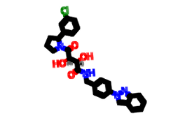 O=C(NCc1ccc(-n2cc3ccccc3n2)cc1)[C@H](O)[C@@H](O)C(=O)N1CCCC1c1cccc(Cl)c1